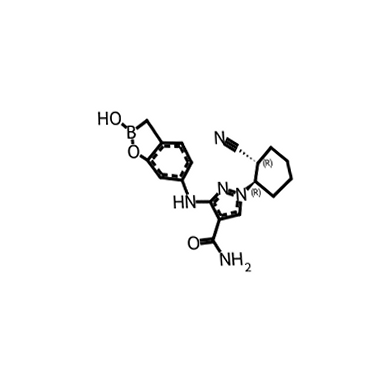 N#C[C@@H]1CCCC[C@H]1n1cc(C(N)=O)c(Nc2ccc3c(c2)OB(O)C3)n1